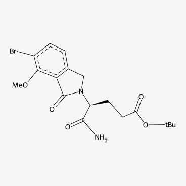 COc1c(Br)ccc2c1C(=O)N([C@@H](CCC(=O)OC(C)(C)C)C(N)=O)C2